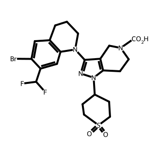 O=C(O)N1CCc2c(c(N3CCCc4cc(Br)c(C(F)F)cc43)nn2C2CCS(=O)(=O)CC2)C1